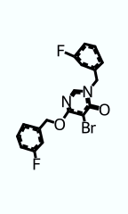 O=c1c(Br)c(OCc2cccc(F)c2)ncn1Cc1cccc(F)c1